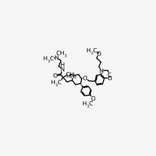 COCCCN1CCOc2ccc(CO[C@H]3CNC(CC(C)(C)C(=O)NCCN(C)C)C[C@@H]3c3ccc(OC)cc3)cc21